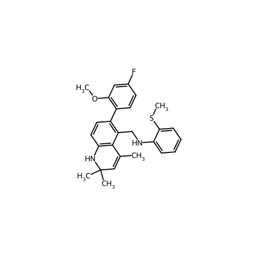 COc1cc(F)ccc1-c1ccc2c(c1CNc1ccccc1SC)C(C)=CC(C)(C)N2